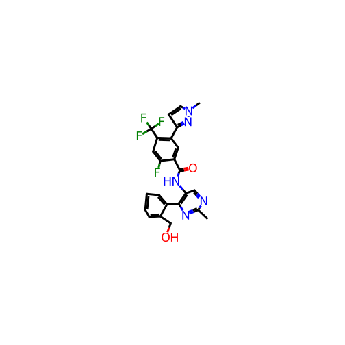 Cc1ncc(NC(=O)c2cc(-c3ccn(C)n3)c(C(F)(F)F)cc2F)c(-c2ccccc2CO)n1